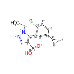 CCn1ncc(C(=O)O)c1-c1cc(C2CC2)cnc1F